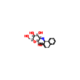 CO[C@@H]1O[C@H](CO)[C@@H](O)[C@H](O)[C@H]1N=C1C(O)=CCc2ccccc21